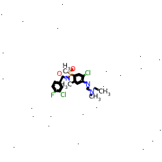 CCN(C)C=Nc1cc(C)c(S(C)(=O)=NC(=O)c2ccc(F)c(Cl)c2)cc1Cl